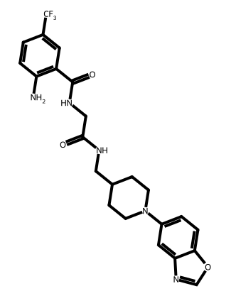 Nc1ccc(C(F)(F)F)cc1C(=O)NCC(=O)NCC1CCN(c2ccc3ocnc3c2)CC1